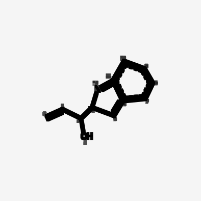 C=CC(O)[C]1C=c2ccccc2=N1